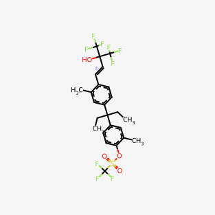 CCC(CC)(c1ccc(/C=C/C(O)(C(F)(F)F)C(F)(F)F)c(C)c1)c1ccc(OS(=O)(=O)C(F)(F)F)c(C)c1